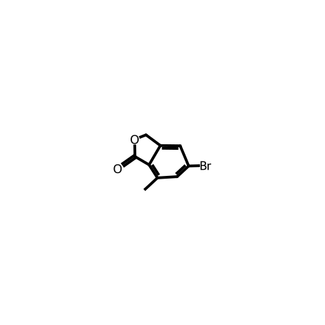 Cc1cc(Br)cc2c1C(=O)OC2